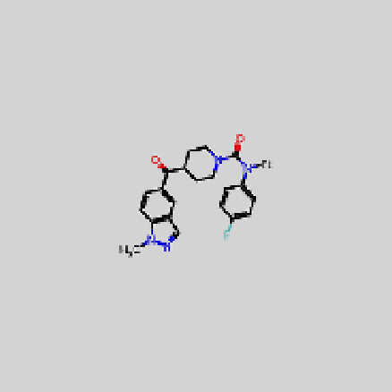 CCN(C(=O)N1CCC(C(=O)c2ccc3c(cnn3C)c2)CC1)c1ccc(F)cc1